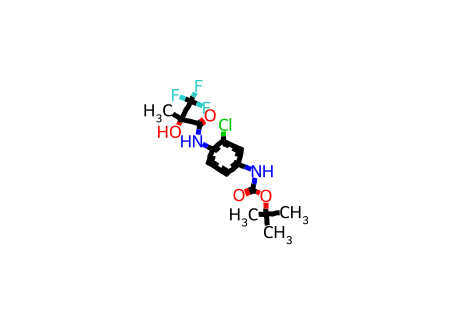 CC(C)(C)OC(=O)Nc1ccc(NC(=O)C(C)(O)C(F)(F)F)c(Cl)c1